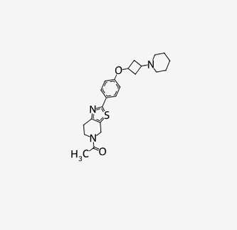 CC(=O)N1CCc2nc(-c3ccc(OC4CC(N5CCCCC5)C4)cc3)sc2C1